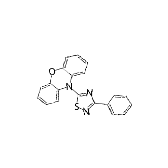 c1ccc(-c2nsc(N3c4ccccc4Oc4ccccc43)n2)cc1